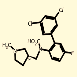 CN1CC[C@H](CN(C(=O)O)c2ccc(F)cc2-c2cc(Cl)cc(Cl)c2)C1